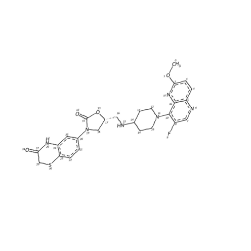 COc1ccc2ncc(F)c(N3CCC(NC[C@@H]4CN(c5ccc6c(c5)NC(=O)CS6)C(=O)O4)CC3)c2n1